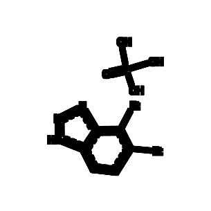 CCc1ccc2[nH]nnc2c1CC.O=P(O)(O)O